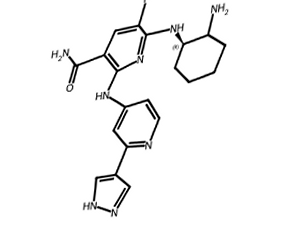 NC(=O)c1cc(F)c(N[C@@H]2CCCCC2N)nc1Nc1ccnc(-c2cn[nH]c2)c1